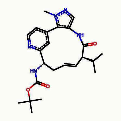 CC(C)[C@H]1/C=C/C[C@H](NC(=O)OC(C)(C)C)c2cc(ccn2)-c2c(cnn2C)NC1=O